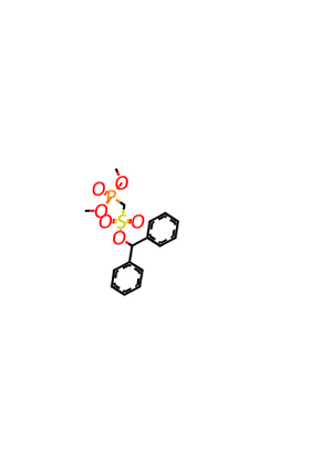 COP(=O)(CS(=O)(=O)OC(c1ccccc1)c1ccccc1)OC